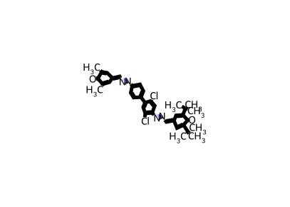 CC1=CC(=C/N=N/c2ccc(-c3cc(Cl)c(/N=N/C=C4C=C(C(C)(C)C)C(=O)C(C(C)(C)C)=C4)cc3Cl)cc2)C=C(C)C1=O